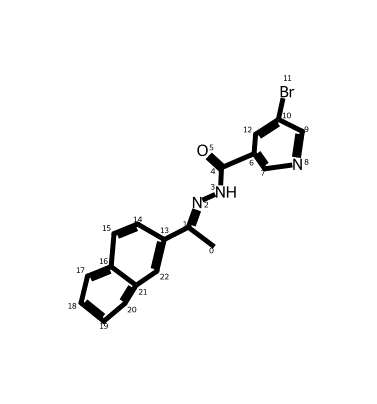 CC(=NNC(=O)c1cncc(Br)c1)c1ccc2ccccc2c1